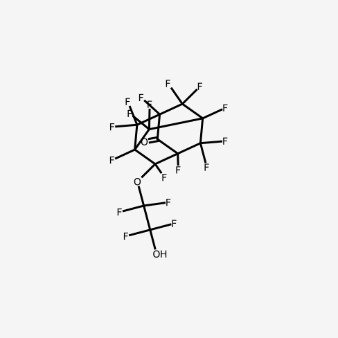 O=C1C2(F)C(F)(F)C3(F)C(F)(F)C1(F)C(F)(OC(F)(F)C(O)(F)F)C(F)(C2(F)F)C3(F)F